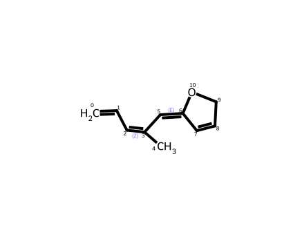 C=C/C=C(C)\C=C1/C=CCO1